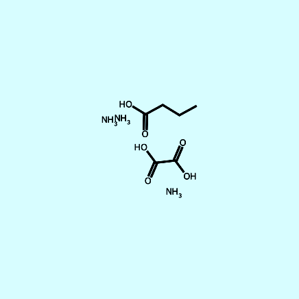 CCCC(=O)O.N.N.N.O=C(O)C(=O)O